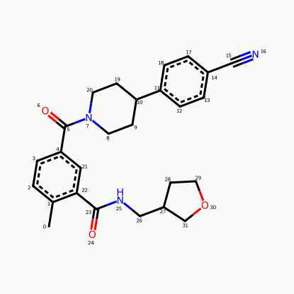 Cc1ccc(C(=O)N2CCC(c3ccc(C#N)cc3)CC2)cc1C(=O)NCC1CCOC1